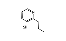 CCCc1ccccn1.[Si]